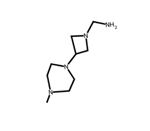 CN1CCN(C2CN(CN)C2)CC1